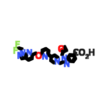 O=C(O)c1ccc2nc(CN3CCC(c4cccc(OCc5ccc6cnn(CC(F)F)c6n5)n4)CC3)n(CC3CCO3)c2c1